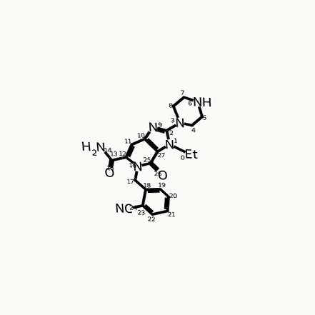 CCn1c(N2CCNCC2)nc2cc(C(N)=O)n(Cc3ccccc3C#N)c(=O)c21